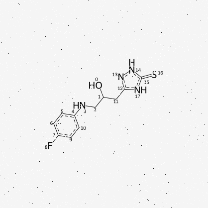 OC(CNc1ccc(F)cc1)Cc1n[nH]c(=S)[nH]1